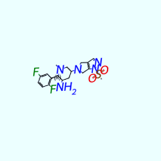 CN1CC(N2Cc3cnn(S(C)(=O)=O)c3C2)CC(N)[C@H]1c1cc(F)ccc1F